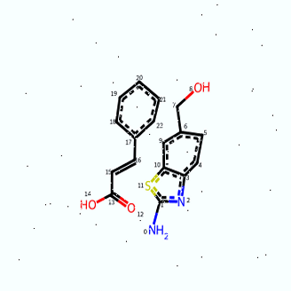 Nc1nc2ccc(CO)cc2s1.O=C(O)C=Cc1ccccc1